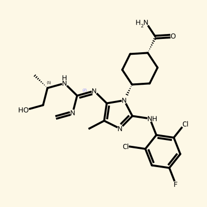 C=N/C(=N\c1c(C)nc(Nc2c(Cl)cc(F)cc2Cl)n1[C@H]1CC[C@@H](C(N)=O)CC1)N[C@@H](C)CO